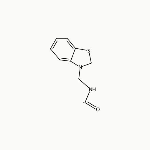 O=[C]NCN1CSc2ccccc21